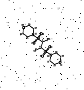 O=S(=O)(C(F)C(F)S(=O)(=O)N1CCOCC1)N1CCOCC1